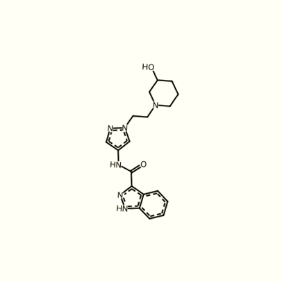 O=C(Nc1cnn(CCN2CCCC(O)C2)c1)c1n[nH]c2ccccc12